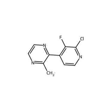 [CH2]c1nccnc1-c1ccnc(Cl)c1F